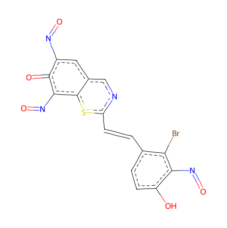 O=Nc1c(O)ccc(/C=C/c2ncc3cc(N=O)c(=O)c(N=O)c-3s2)c1Br